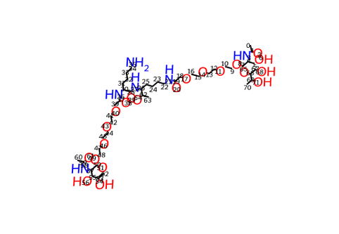 CC(=O)NC(CO)C(OCCOCCOCCOCC(=O)NCCCCC(NC(=O)C(CCCCN)NC(=O)COCCOCCOCCOC1OC=C(O)C(O)C1NC(C)=O)C(C)=O)OC(CO)C(C)O